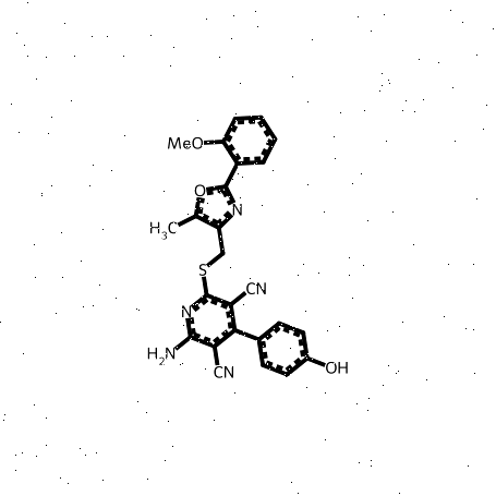 COc1ccccc1-c1nc(CSc2nc(N)c(C#N)c(-c3ccc(O)cc3)c2C#N)c(C)o1